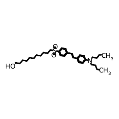 CCCCN(CCCC)c1ccc(C=Cc2ccc(S(=O)(=O)CCCCCCCCCCCO)cc2)cc1